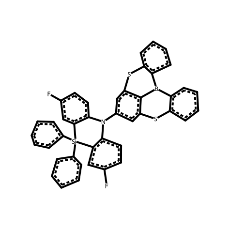 Fc1ccc2c(c1)[Si](c1ccccc1)(c1ccccc1)c1cc(F)ccc1N2c1cc2c3c(c1)Sc1ccccc1B3c1ccccc1S2